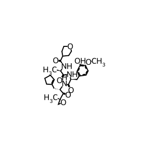 COc1ccc(C[C@H](NC(=O)[C@@H](C)NC(=O)C2CCOCC2)C(=O)N[C@@H](CC2=CCCC2)C(=O)[C@@]2(C)CO2)cc1O